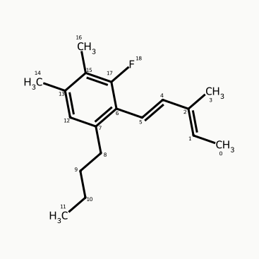 CC=C(C)/C=C/c1c(CCCC)cc(C)c(C)c1F